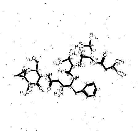 CC[C@H](C)[C@H](NC(=O)C[C@H](N)[C@H](Cc1ccccc1)NC(=O)[C@@H](NC(=O)[C@H](CC(C)C)NC(=O)CC(C)C)C(C)C)C(=O)N(C)C1CC1